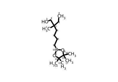 CCC(C)(CO)CCCCB1OC(C)(C)C(C)(C)O1